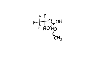 C=CO[PH](O)(O)OC(F)(F)C(F)(F)F